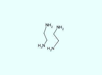 NCCN.NCCN